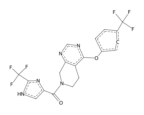 O=C(c1c[nH]c(C(F)(F)F)n1)N1CCc2c(ncnc2Oc2ccc(C(F)(F)F)cc2)C1